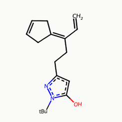 C=CC(CCc1cc(O)n(C(C)(C)C)n1)=C1CC=CC1